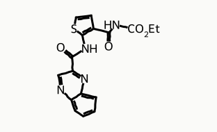 CCOC(=O)NC(=O)c1ccsc1NC(=O)c1cnc2ccccc2n1